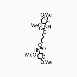 CO[C@H]1C[C@H](OC)[C@H](NC(=O)OCCCCOC(=O)N[C@@H]2[C@H](C)O[C@@H](OC)C[C@@H]2OC)[C@H](C)O1